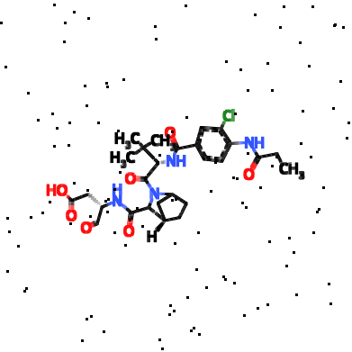 CCC(=O)Nc1ccc(C(=O)N[C@H](C(=O)N2C3CC[C@@H](C3)C2C(=O)N[C@H](C=O)CC(=O)O)C(C)(C)C)cc1Cl